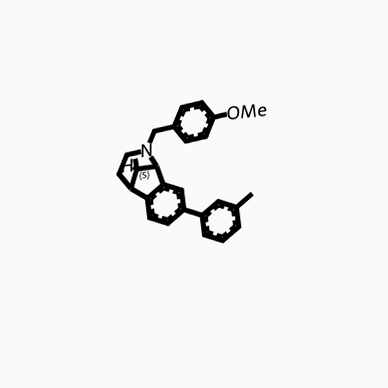 COc1ccc(CN2CCC3c4ccc(-c5cccc(C)c5)cc4C2[C@H]3C)cc1